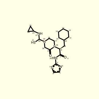 O=C(Nc1nccs1)[C@H](CC1CCCCC1)N1CCN(C(S)NC2CC2)CC1=O